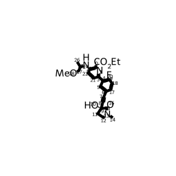 CCOC(=O)c1nc(-c2cc(C#C[C@]3(O)CCN(C)C3=O)ccc2F)ccc1NC(C)COC